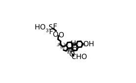 C[C@H](CCC(=O)OCC(F)(F)S(=O)(=O)O)[C@H]1CC[C@H]2[C@@H]3[C@H](OC=O)CC4C[C@H](O)CC[C@]4(C)[C@H]3CC[C@]12C